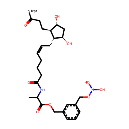 CCCCCCCC(=O)CC[C@@H]1[C@@H](C/C=C\CCCC(=O)NC(C)C(=O)OCc2cccc(CON(O)O)c2)[C@@H](O)C[C@H]1O